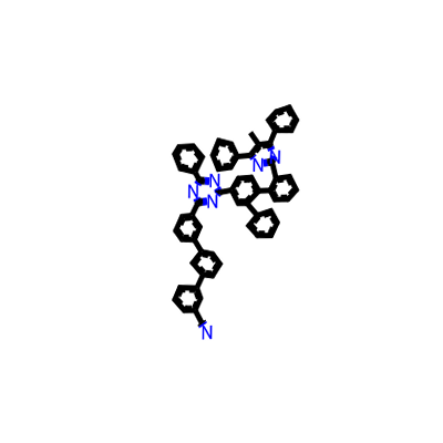 Cc1c(-c2ccccc2)nc(-c2ccccc2-c2ccc(-c3nc(-c4ccccc4)nc(-c4cccc(-c5cccc(-c6cccc(C#N)c6)c5)c4)n3)cc2-c2ccccc2)nc1-c1ccccc1